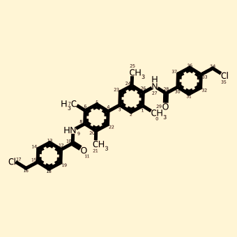 Cc1cc(-c2cc(C)c(NC(=O)c3ccc(CCl)cc3)c(C)c2)cc(C)c1NC(=O)c1ccc(CCl)cc1